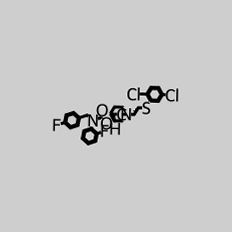 O=C(O[C@H]1C[N+]2(CCSc3cc(Cl)ccc3Cl)CCC1CC2)N(Cc1ccc(F)cc1)c1ccccc1F